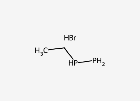 Br.CCPP